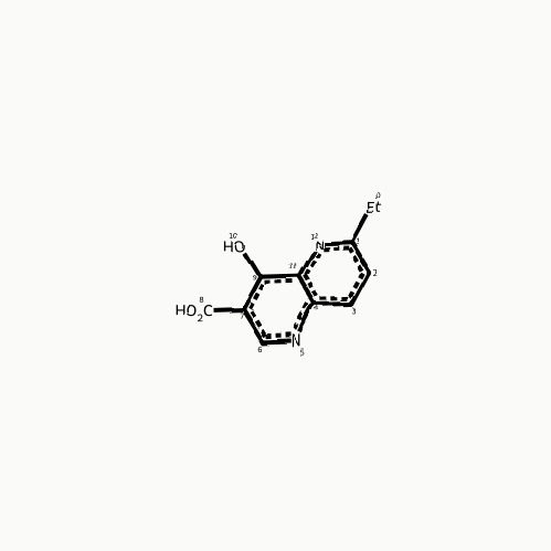 CCc1ccc2ncc(C(=O)O)c(O)c2n1